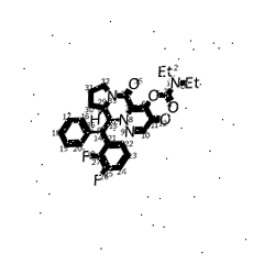 CCN(CC)C(=O)Oc1c2n(ncc1=O)[C@@H]([C@H](c1ccccc1)c1cccc(F)c1F)[C@H]1CCCN1C2=O